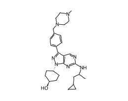 CC(CC1CC1)Nc1ncc2c(-c3ccc(CN4CCN(C)CC4)cc3)nn([C@H]3CC[C@H](O)CC3)c2n1